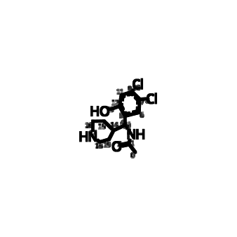 CC(=O)N[C@H](c1cc(Cl)c(Cl)cc1O)C1CCNCC1